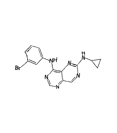 Brc1cccc(Nc2ncnc3cnc(NC4CC4)nc23)c1